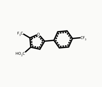 O=C(O)c1cc(-c2ccc(C(F)(F)F)cc2)oc1C(F)(F)F